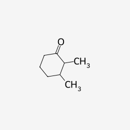 CC1CCCC(=O)C1C